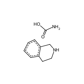 NC(=O)O.c1ccc2c(c1)CCNC2